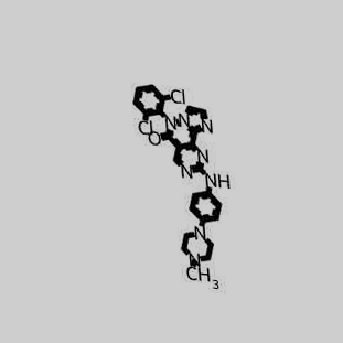 CN1CCN(c2ccc(Nc3ncc4c(=O)n(-c5c(Cl)cccc5Cl)n5ccnc5c4n3)cc2)CC1